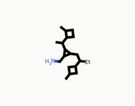 CCC(CC1C(CN)C1C(C)C1CCC1C)C1CC(C)C1